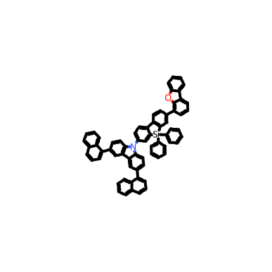 c1ccc([Si]2(c3ccccc3)c3cc(-c4cccc5c4oc4ccccc45)ccc3-c3ccc(-n4c5ccc(-c6cccc7ccccc67)cc5c5cc(-c6cccc7ccccc67)ccc54)cc32)cc1